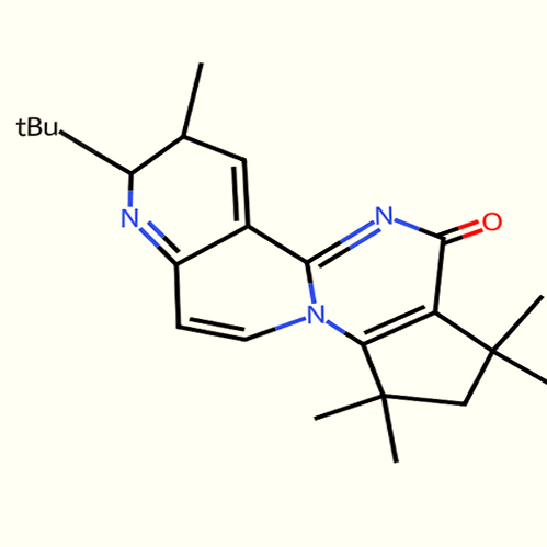 CC1C=c2c(ccn3c4c(c(=O)nc23)C(C)(C)CC4(C)C)=NC1C(C)(C)C